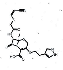 N#C/C=C\SCC(=O)N[C@@H]1C(=O)N2C(C(=O)O)=C(SCCc3cn[nH]c3)CS[C@H]12